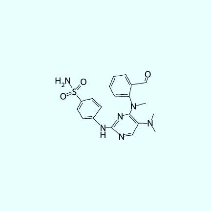 CN(C)c1cnc(Nc2ccc(S(N)(=O)=O)cc2)nc1N(C)c1ccccc1C=O